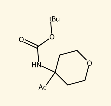 CC(=O)C1(NC(=O)OC(C)(C)C)CCOCC1